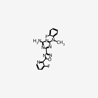 CN(c1nc(N)nc(-c2noc(-c3ncccc3F)n2)n1)c1ccccc1F